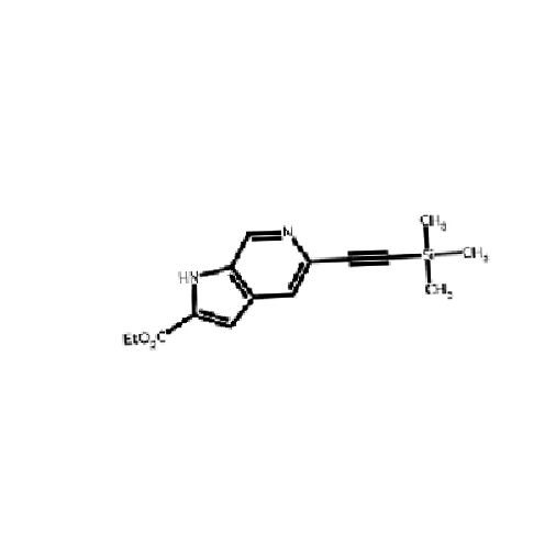 CCOC(=O)c1cc2cc(C#C[Si](C)(C)C)ncc2[nH]1